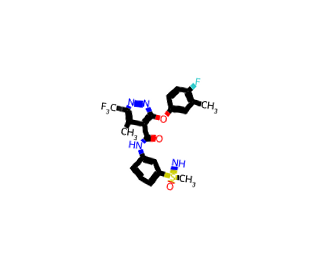 Cc1cc(Oc2nnc(C(F)(F)F)c(C)c2C(=O)Nc2cccc(S(C)(=N)=O)c2)ccc1F